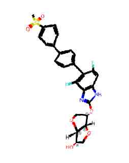 CS(=O)(=O)c1ccc(-c2ccc(-c3c(F)cc4[nH]c(O[C@H]5CO[C@@H]6[C@H]5OC[C@H]6O)nc4c3F)cc2)cc1